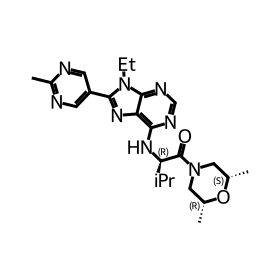 CCn1c(-c2cnc(C)nc2)nc2c(N[C@@H](C(=O)N3C[C@@H](C)O[C@@H](C)C3)C(C)C)ncnc21